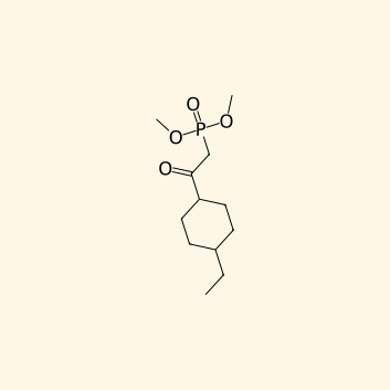 CCC1CCC(C(=O)CP(=O)(OC)OC)CC1